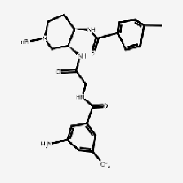 CCCN1CC[C@@H](NC(=S)c2ccc(C)cc2)[C@@H](NC(=O)CNC(=O)c2cc(N)cc(C(F)(F)F)c2)C1